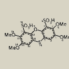 COc1cc2c(c(S(=O)(=O)O)c1OC)Oc1c(cc(OC)c(OC)c1S(=O)(=O)O)S2